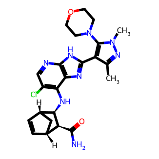 Cc1nn(C)c(N2CCOCC2)c1-c1nc2c(N[C@H]3[C@@H](C(N)=O)[C@@H]4C=C[C@H]3C4)c(Cl)cnc2[nH]1